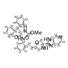 COC(=O)N[C@H](C(=O)Nc1ccccc1CC[C@@H]1CN[C@H](c2nc3ccncc3[nH]2)CO1)C(c1ccccc1)c1ccccc1